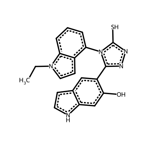 CCn1ccc2c(-n3c(S)nnc3-c3cc4cc[nH]c4cc3O)cccc21